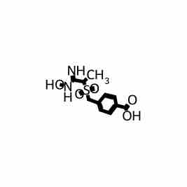 CC(C(=N)NO)S(=O)(=O)Cc1ccc(C(=O)O)cc1